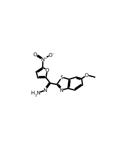 COc1ccc2nc(C(=NN)c3ccc([N+](=O)[O-])o3)sc2c1